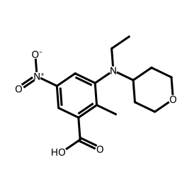 CCN(c1cc([N+](=O)[O-])cc(C(=O)O)c1C)C1CCOCC1